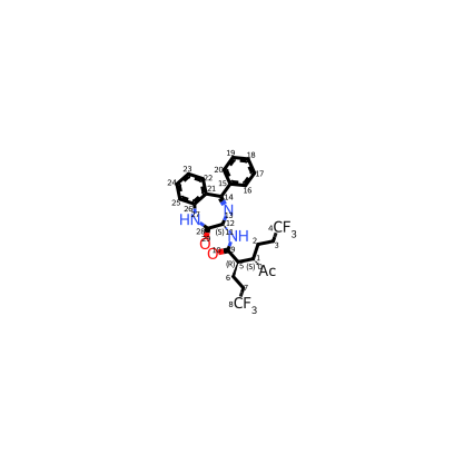 CC(=O)[C@@H](CCC(F)(F)F)[C@@H](CCC(F)(F)F)C(=O)N[C@H]1N=C(c2ccccc2)c2ccccc2NC1=O